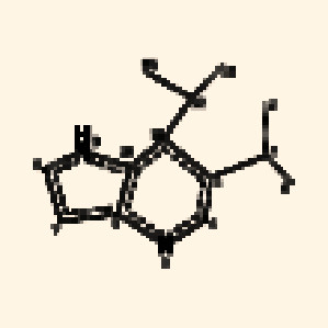 CC(C)c1cnc2cc[nH]c2c1C(C)C